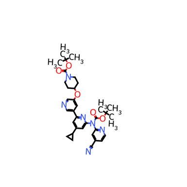 CC(C)(C)OC(=O)N1CCC(Oc2cncc(-c3cc(C4CC4)cc(N(C(=O)OC(C)(C)C)c4cc(C#N)ccn4)n3)c2)CC1